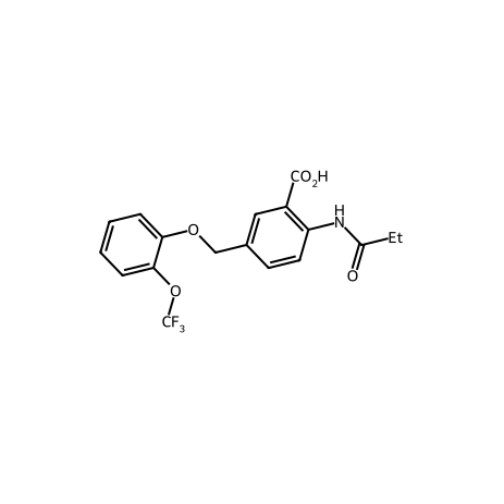 CCC(=O)Nc1ccc(COc2ccccc2OC(F)(F)F)cc1C(=O)O